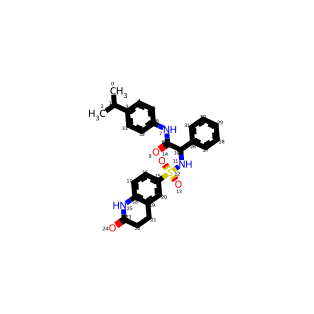 CC(C)c1ccc(NC(=O)C(NS(=O)(=O)c2ccc3c(c2)CCC(=O)N3)c2ccccc2)cc1